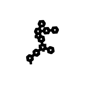 Cc1cccc(-c2ccc(-c3nc(-c4ccccc4)nc(-c4ccc5c(c4)oc4ccc(-c6ccccc6)c(-c6ccc(-c7ccccc7)cc6)c45)n3)cc2)c1